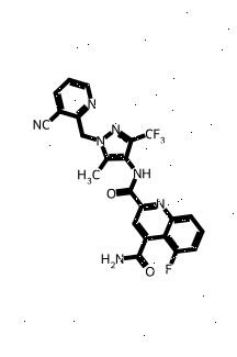 Cc1c(NC(=O)c2cc(C(N)=O)c3c(F)cccc3n2)c(C(F)(F)F)nn1Cc1ncccc1C#N